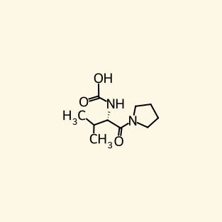 CC(C)[C@H](NC(=O)O)C(=O)N1CCCC1